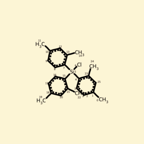 Cc1ccc([Si](Cl)(c2ccc(C)cc2C)c2ccc(C)cc2C)c(C)c1